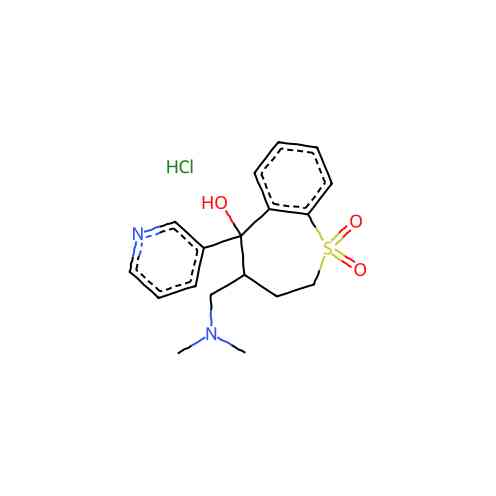 CN(C)CC1CCS(=O)(=O)c2ccccc2C1(O)c1cccnc1.Cl